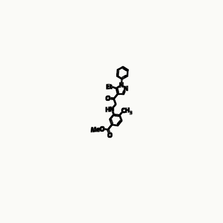 CCc1c(C(=O)CNc2cc(C(=O)OC)ccc2C)cnn1-c1ccccc1